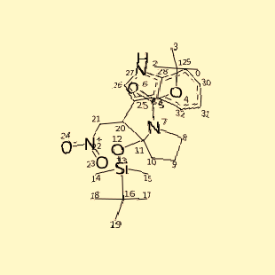 CC(C)(C)OC(=O)N1CCCC1(O[Si](C)(C)C(C)(C)C)C(C[N+](=O)[O-])c1c[nH]c2ccccc12